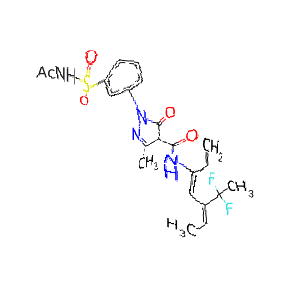 C=C/C(=C\C(=C/C)C(C)(F)F)NC(=O)C1C(=O)N(c2cccc(S(=O)(=O)NC(C)=O)c2)N=C1C